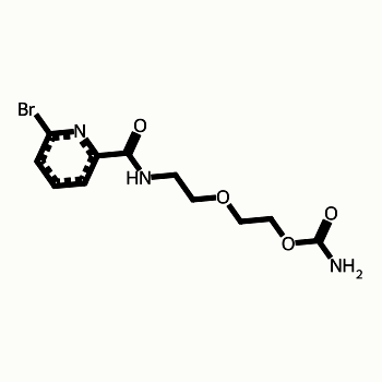 NC(=O)OCCOCCNC(=O)c1cccc(Br)n1